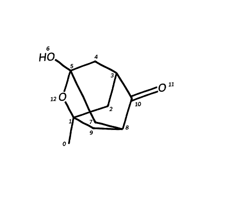 CC12CC3CC(O)(CC(C1)C3=O)O2